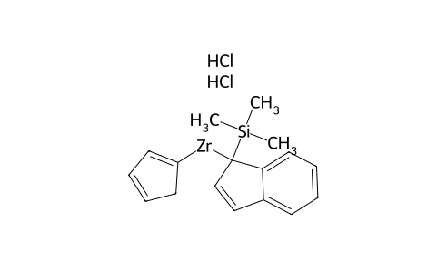 C[Si](C)(C)[C]1([Zr][C]2=CC=CC2)C=Cc2ccccc21.Cl.Cl